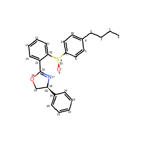 CCCCc1ccc([S@@+]([O-])c2ccccc2C2=N[C@@H](c3ccccc3)CO2)cc1